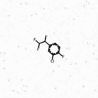 [CH2]C(c1ccc(F)c(Cl)c1)C(F)F